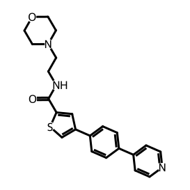 O=C(NCCN1CCOCC1)c1cc(-c2ccc(-c3ccncc3)cc2)cs1